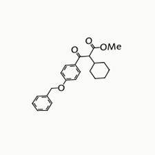 COC(=O)C(C(=O)c1ccc(OCc2ccccc2)cc1)C1CCCCC1